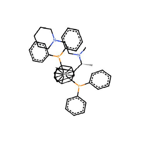 C[C@@H](N(C)CCN1CCCCC1)[C@]12[CH]3[CH]4[CH]5[C]1(P(c1ccccc1)c1ccccc1)[Fe]45321678[CH]2[CH]1[CH]6[C]7(P(c1ccccc1)c1ccccc1)[CH]28